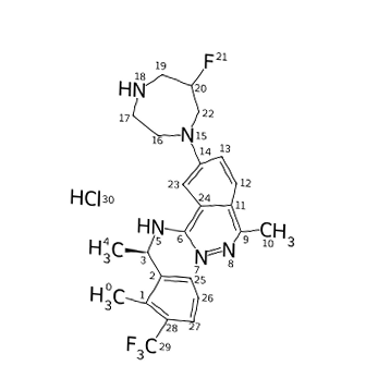 Cc1c([C@@H](C)Nc2nnc(C)c3ccc(N4CCNCC(F)C4)cc23)cccc1C(F)(F)F.Cl